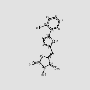 CCN1C(=O)S/C(=C\c2ccc(-c3ccccc3F)o2)C1=S